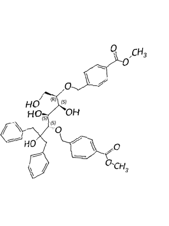 COC(=O)c1ccc(CO[C@H](CO)[C@@H](O)[C@H](O)[C@H](OCc2ccc(C(=O)OC)cc2)C(O)(Cc2ccccc2)Cc2ccccc2)cc1